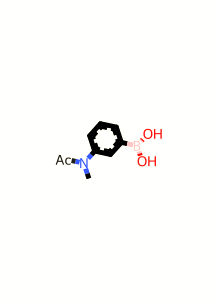 CC(=O)N(C)c1cccc(B(O)O)c1